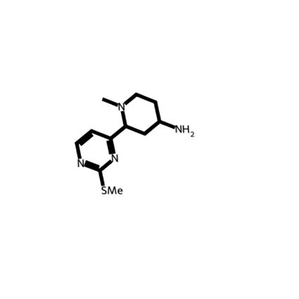 CSc1nccc(C2CC(N)CCN2C)n1